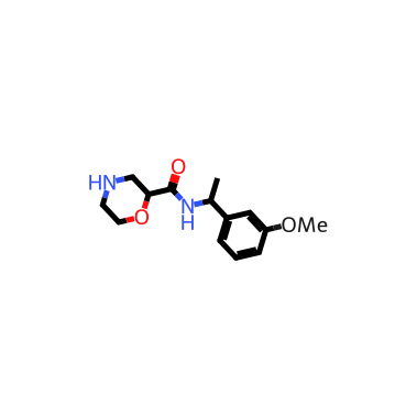 COc1cccc(C(C)NC(=O)C2CNCCO2)c1